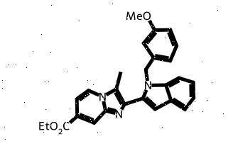 CCOC(=O)c1ccn2c(C)c(-c3cc4ccccc4n3Cc3cccc(OC)c3)nc2c1